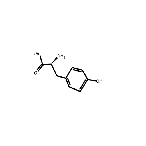 CC(C)(C)C(=O)[C@@H](N)Cc1ccc(O)cc1